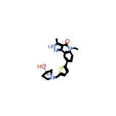 CCn1c(=O)c2c(C)[nH]nc2c2cc(-c3ccc(CN4CC[C@H](O)C4)s3)ccc21